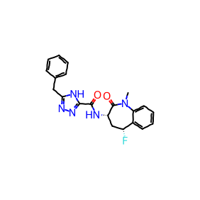 CN1C(=O)[C@@H](NC(=O)c2nnc(Cc3ccccc3)[nH]2)C[C@@H](F)c2ccccc21